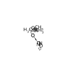 CC(Cc1ccc(C#Cc2cnc(OC3CCC3)nc2)cc1)NC(=O)N(C)C